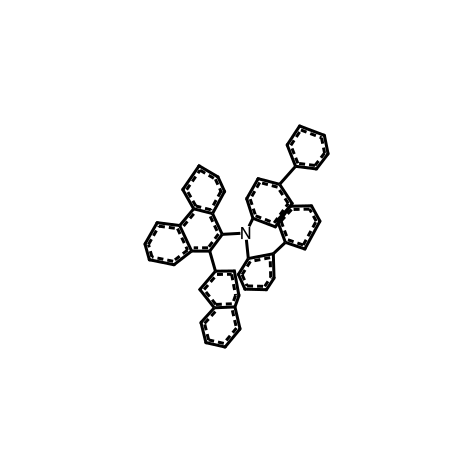 c1ccc(-c2ccc(N(c3ccccc3-c3ccccc3)c3c(-c4ccc5ccccc5c4)c4ccccc4c4ccccc34)cc2)cc1